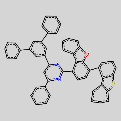 c1ccc(-c2cc(-c3ccccc3)cc(-c3cc(-c4ccccc4)nc(-c4ccc(-c5cccc6sc7ccccc7c56)c5oc6ccccc6c45)n3)c2)cc1